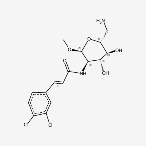 CO[C@H]1O[C@H](CN)[C@@H](O)[C@H](O)[C@H]1NC(=O)/C=C/c1ccc(Cl)c(Cl)c1